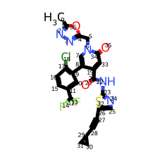 Cc1nnc(Cn2cc(-c3cc(C(F)F)ccc3Cl)c(C(=O)Nc3ncc(C#CC4CC4)s3)cc2=O)o1